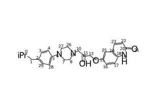 CC(C)Cc1ccc(N2CCN(C[C@@H](O)COc3ccc4[nH]c(=O)ccc4c3)CC2)cc1